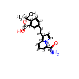 CC1(C)OB(O)c2cc(CCc3ccn4c(C(N)=O)cccc34)ccc21